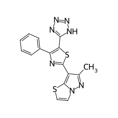 Cc1nn2ccsc2c1-c1nc(-c2ccccc2)c(-c2nnn[nH]2)s1